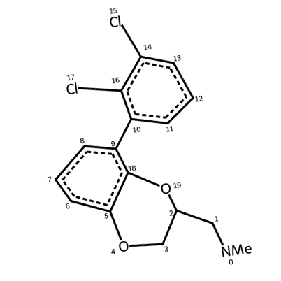 CNCC1COc2cccc(-c3cccc(Cl)c3Cl)c2O1